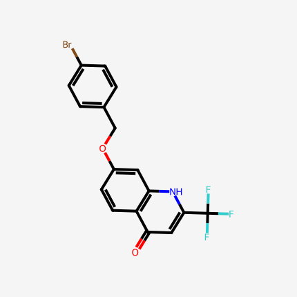 O=c1cc(C(F)(F)F)[nH]c2cc(OCc3ccc(Br)cc3)ccc12